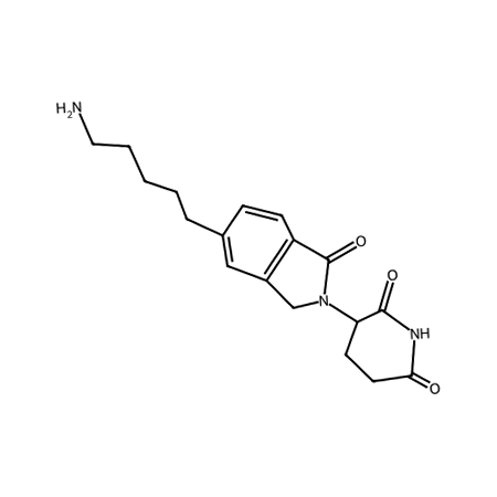 NCCCCCc1ccc2c(c1)CN(C1CCC(=O)NC1=O)C2=O